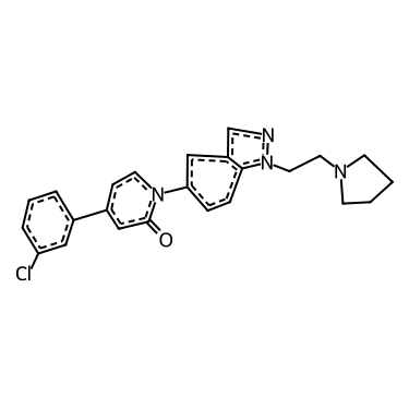 O=c1cc(-c2cccc(Cl)c2)ccn1-c1ccc2c(cnn2CCN2CCCC2)c1